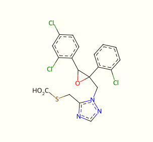 O=C(O)SCc1ncnn1CC1(c2ccccc2Cl)OC1c1ccc(Cl)cc1Cl